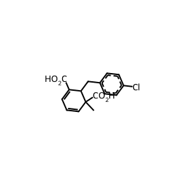 CC1(C(=O)O)C=CC=C(C(=O)O)C1Cc1ccc(Cl)cc1